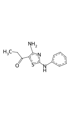 CCC(=O)c1sc(Nc2ccccc2)nc1N